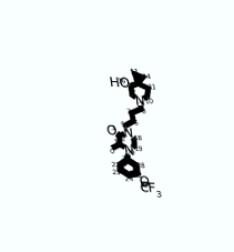 CC1C(=O)N(CCCCN2CCC3(CC3)C(O)C2)CCN1c1cccc(OC(F)(F)F)c1